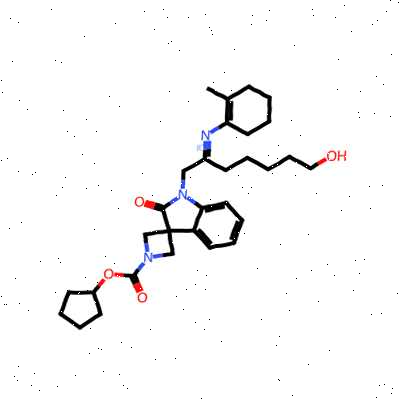 CC1=C(/N=C(\CCCCCO)CN2C(=O)C3(CN(C(=O)OC4CCCC4)C3)c3ccccc32)CCCC1